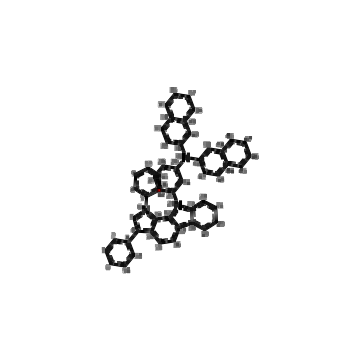 c1ccc(-c2cn(-c3ccccc3)c3c2ccc2c4ccccc4n(-c4cccc(N(c5ccc6ccccc6c5)c5ccc6ccccc6c5)c4)c23)cc1